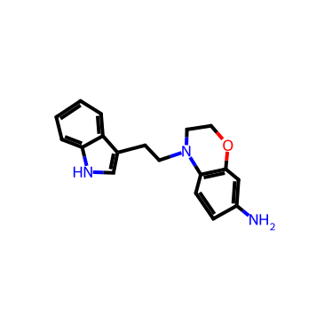 Nc1ccc2c(c1)OCCN2CCc1c[nH]c2ccccc12